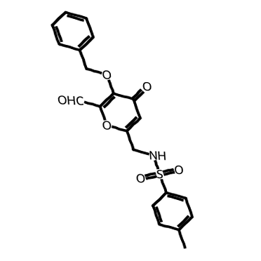 Cc1ccc(S(=O)(=O)NCc2cc(=O)c(OCc3ccccc3)c(C=O)o2)cc1